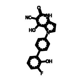 N#Cc1c(O)c2c(ccn2-c2ccc(-c3cccc(F)c3O)cc2)[nH]c1=O